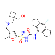 Cc1oc(S(=N)(=O)NC(=O)Nc2c3c(c(F)c4c2CCC4)CCC3)cc1CN(C)CC1(CO)CCC1